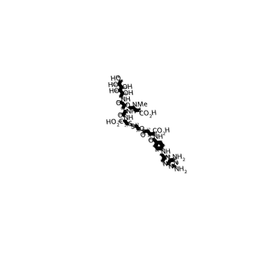 CN[C@@H](CCC(=O)O)C(=O)N[C@@H](CCC(=O)NC[C@H](O)[C@@H](O)[C@H](O)[C@H](O)CO)C(=O)N[C@@H](CSSCCOC(=O)CC[C@H](NC(=O)c1ccc(NCc2cnc3nc(N)nc(N)c3n2)cc1)C(=O)O)C(=O)O